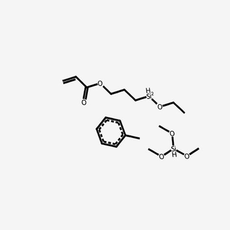 C=CC(=O)OCCC[SiH2]OCC.CO[SiH](OC)OC.Cc1ccccc1